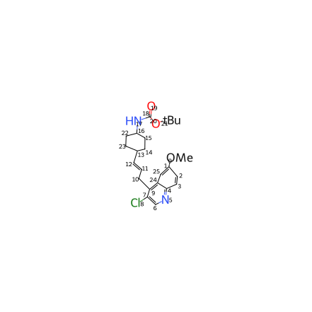 COc1ccc2ncc(Cl)c(CC=CC3CCC(NC(=O)OC(C)(C)C)CC3)c2c1